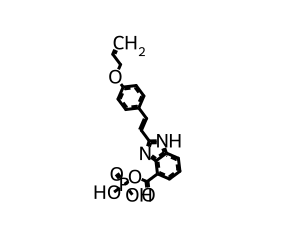 C=CCOc1ccc(/C=C/c2nc3c(C(=O)OP(=O)(O)O)cccc3[nH]2)cc1